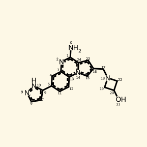 Nc1nc2cc(-c3ccn[nH]3)ccc2n2cc(CN3CC(O)C3)cc12